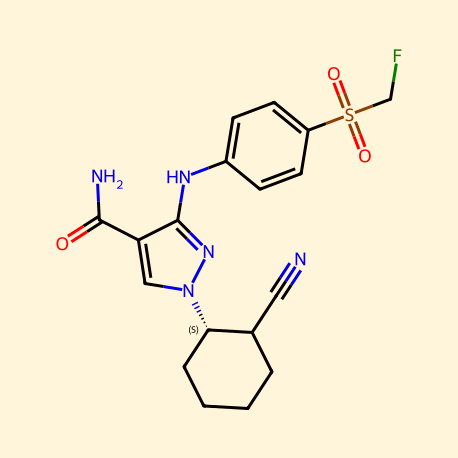 N#CC1CCCC[C@@H]1n1cc(C(N)=O)c(Nc2ccc(S(=O)(=O)CF)cc2)n1